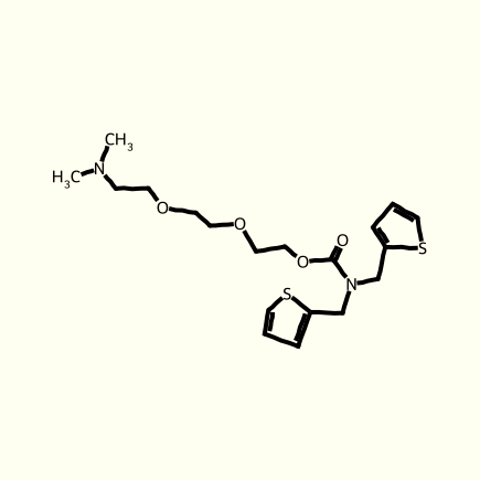 CN(C)CCOCCOCCOC(=O)N(Cc1cccs1)Cc1cccs1